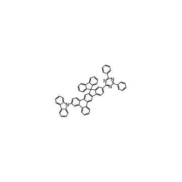 c1ccc(-c2nc(-c3ccccc3)nc(-c3ccc4c(c3)C3(c5ccccc5-c5ccccc53)c3cc5c6ccc(-n7c8ccccc8c8ccccc87)cc6c6ccccc6c5cc3-4)n2)cc1